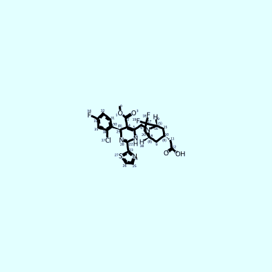 COC(=O)C1=C(CN2[C@@H]3C[C@@H](CC(=O)O)C[C@H]2C(F)(F)C3)NC(c2nccs2)=N[C@H]1c1ccc(F)cc1Cl